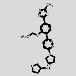 COCOc1cc(-c2nnc(C)s2)ccc1-c1ccc(N2CC[C@H](NC3CCOC3)C2)nn1